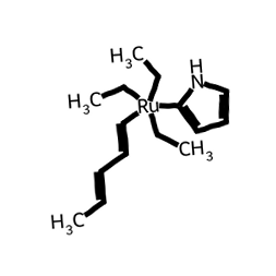 CC=CC=[CH][Ru]([CH2]C)([CH2]C)([CH2]C)[c]1ccc[nH]1